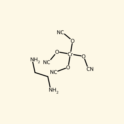 N#C[O][Cr]([O]C#N)([O]C#N)[O]C#N.NCCN